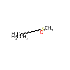 C[CH]SC(=O)CCCCCCCCCCCC(C)(C)C